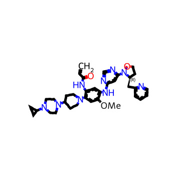 C=CC(=O)Nc1cc(Nc2cc(N3OCC[C@H]3Cc3ccccn3)ncn2)c(OC)cc1N1CCC(N2CCN(C3CC3)CC2)CC1